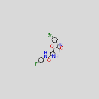 Cc1onc(-c2ccc(Br)cc2)c1C(=O)c1c[nH]c(C(=O)Nc2ccc(F)cc2)c1